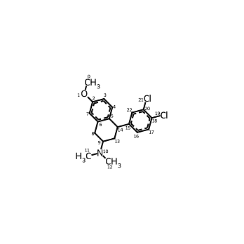 COc1ccc2c(c1)CC(N(C)C)CC2c1ccc(Cl)c(Cl)c1